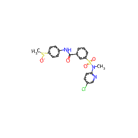 CN(c1ccc(Cl)cn1)S(=O)(=O)c1cccc(C(=O)Nc2ccc([S+](C)[O-])cc2)c1